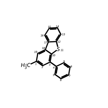 Cc1cc(-c2ccccc2)c2sc3ccccc3c2c1